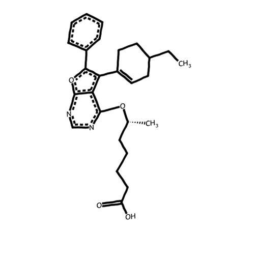 CCC1CC=C(c2c(-c3ccccc3)oc3ncnc(O[C@H](C)CCCCC(=O)O)c23)CC1